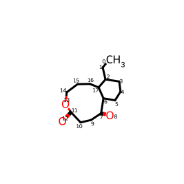 CCC1CCCC2C(=O)CCC(=O)OCCCC12